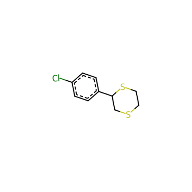 Clc1ccc(C2CSCCS2)cc1